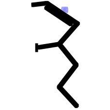 C/C=C\C(I)CCC